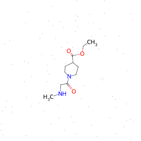 CCOC(=O)C1CCN(C(=O)CNC)CC1